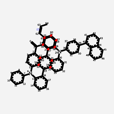 C=C(c1ccc(N(c2ccccc2)c2ccccc2-c2ccc(-c3ccccc3N(c3ccccc3)c3ccc(-c4cccc5ccccc45)cc3)cc2)cc1)c1ccccc1/C=C\C